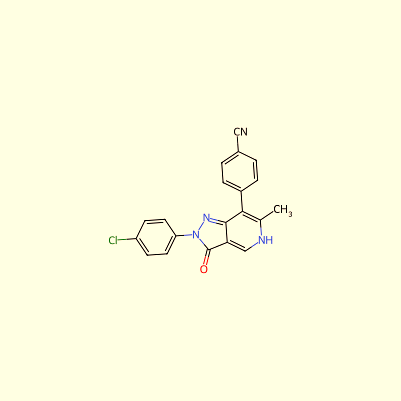 Cc1[nH]cc2c(=O)n(-c3ccc(Cl)cc3)nc-2c1-c1ccc(C#N)cc1